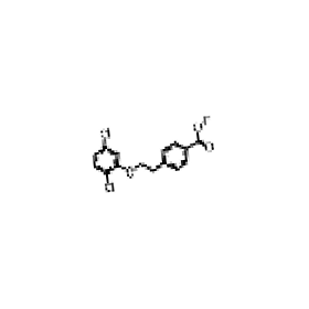 O=C(OF)c1ccc(CCOc2cc(Cl)ccc2Cl)cc1